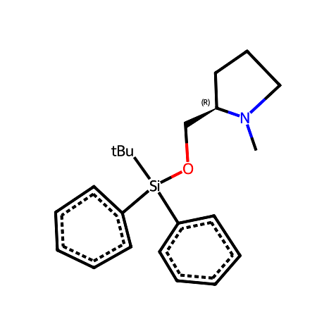 CN1CCC[C@@H]1CO[Si](c1ccccc1)(c1ccccc1)C(C)(C)C